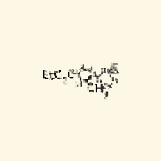 CCOC(=O)c1ccc(C2C=CC=C(F)C2)c(C)c1